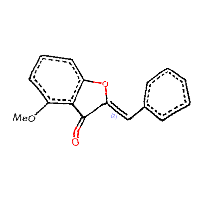 COc1cccc2c1C(=O)/C(=C/c1ccccc1)O2